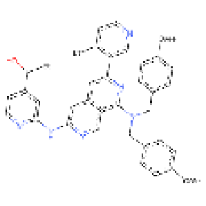 CCc1ccncc1-c1cc2cc(Nc3cc(C(O)CC)ccn3)ncc2c(N(Cc2ccc(OC)cc2)Cc2ccc(OC)cc2)n1